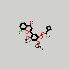 COc1cc(OC)c(-c2cc(=O)c3cccc(Cl)c3o2)cc1OOC(=O)C1CCC1